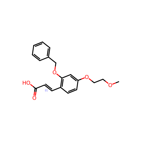 COCCOc1ccc(/C=C/C(=O)O)c(OCc2ccccc2)c1